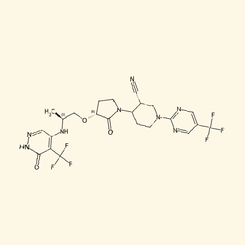 C[C@@H](CO[C@@H]1CCN(C2CCN(c3ncc(C(F)(F)F)cn3)CC2C#N)C1=O)Nc1cn[nH]c(=O)c1C(F)(F)F